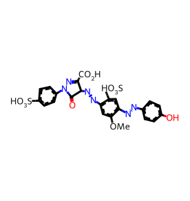 COc1cc(N=NC2C(=O)N(c3ccc(S(=O)(=O)O)cc3)N=C2C(=O)O)c(S(=O)(=O)O)cc1N=Nc1ccc(O)cc1